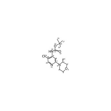 C[C@H]1COCCN1c1cc(NC(=O)OC(C)(C)C)c(Cl)cn1